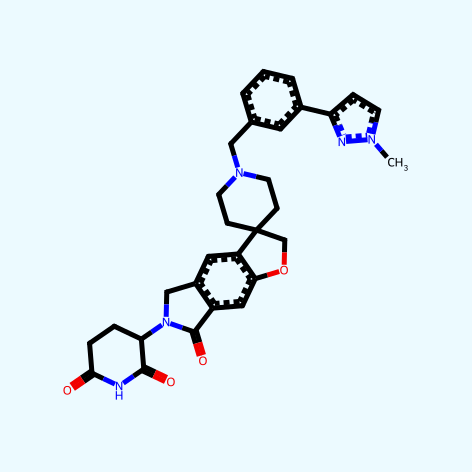 Cn1ccc(-c2cccc(CN3CCC4(CC3)COc3cc5c(cc34)CN(C3CCC(=O)NC3=O)C5=O)c2)n1